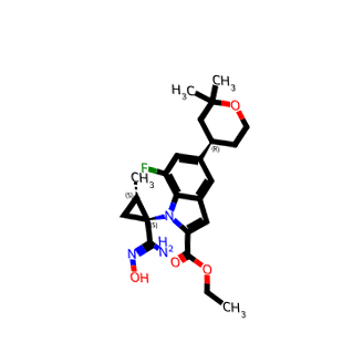 CCOC(=O)c1cc2cc([C@@H]3CCOC(C)(C)C3)cc(F)c2n1[C@@]1(C(N)=NO)C[C@@H]1C